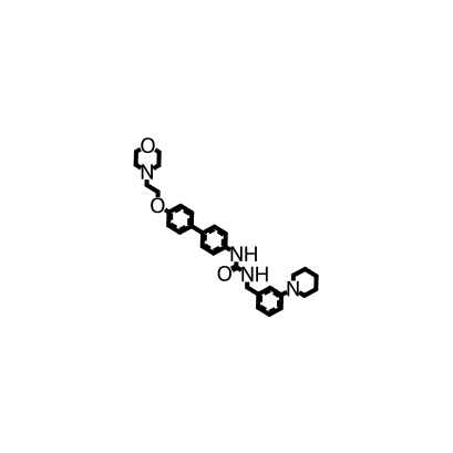 O=C(NCc1cccc(N2CCCCC2)c1)Nc1ccc(-c2ccc(OCCN3CCOCC3)cc2)cc1